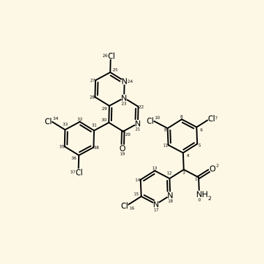 NC(=O)C(c1cc(Cl)cc(Cl)c1)c1ccc(Cl)nn1.O=c1ncn2nc(Cl)ccc2c1-c1cc(Cl)cc(Cl)c1